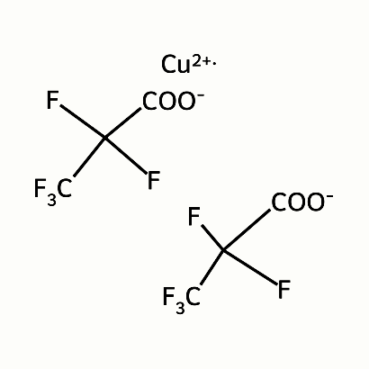 O=C([O-])C(F)(F)C(F)(F)F.O=C([O-])C(F)(F)C(F)(F)F.[Cu+2]